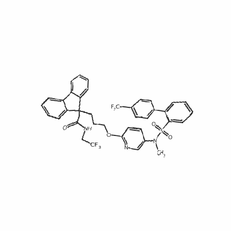 CN(c1ccc(OCCCC2(C(=O)NCC(F)(F)F)c3ccccc3-c3ccccc32)nc1)S(=O)(=O)c1ccccc1-c1ccc(C(F)(F)F)cc1